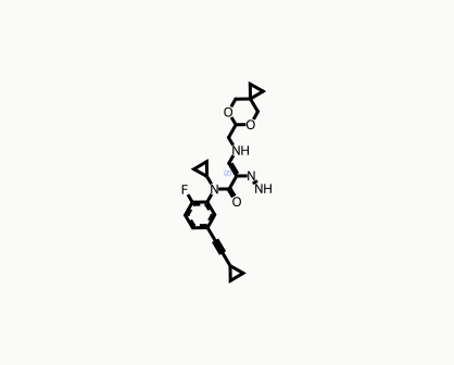 N=N/C(=C\NCC1OCC2(CC2)CO1)C(=O)N(c1cc(C#CC2CC2)ccc1F)C1CC1